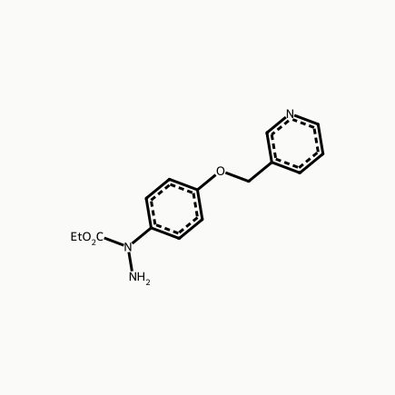 CCOC(=O)N(N)c1ccc(OCc2cccnc2)cc1